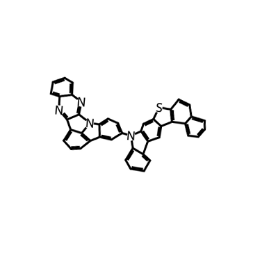 c1ccc2c(c1)ccc1sc3cc4c(cc3c12)c1ccccc1n4-c1ccc2c(c1)c1cccc3c4nc5ccccc5nc4n2c13